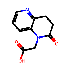 O=C(O)CN1C(=O)CCc2ncccc21